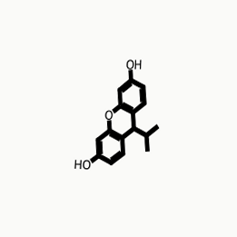 CC(C)C1c2ccc(O)cc2Oc2cc(O)ccc21